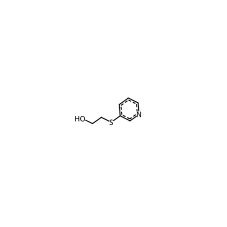 OCCSc1cccnc1